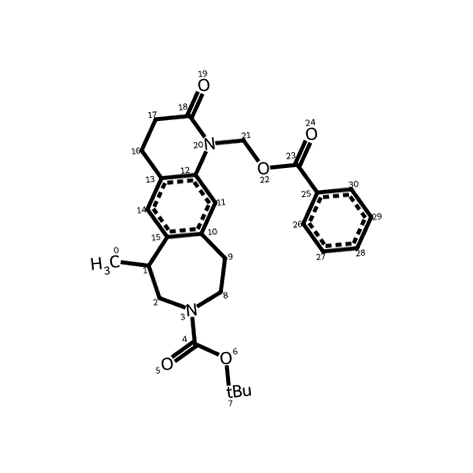 CC1CN(C(=O)OC(C)(C)C)CCc2cc3c(cc21)CCC(=O)N3COC(=O)c1ccccc1